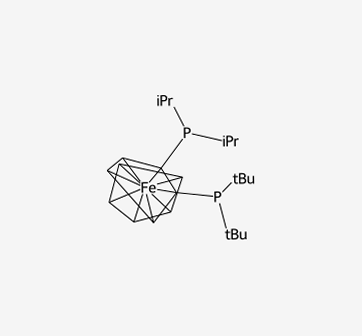 CC(C)P(C(C)C)[C]12[CH]3[CH]4[CH]5[C]1(P(C(C)(C)C)C(C)(C)C)[Fe]43521678[CH]2[CH]1[CH]6[CH]7[CH]28